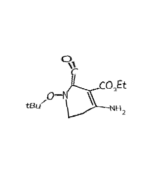 CCOC(=O)C1=C(N)CCN(OC(C)(C)C)C1=C=O